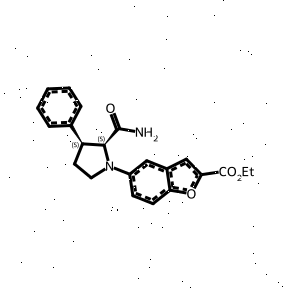 CCOC(=O)c1cc2cc(N3CC[C@@H](c4ccccc4)[C@H]3C(N)=O)ccc2o1